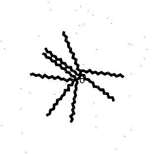 CCCCCCCCCCCCCCC(CCCCCCCCCCCCCC)C(CCCCCCCCCCCCCC)(CCCCCCCCCCCCCC)C(=O)C(CCCCCCCCCCCCCC)(CCCCCCCCCCCCCC)C(CCCCCCCCCCCCCC)CCCCCCCCCCCCCC